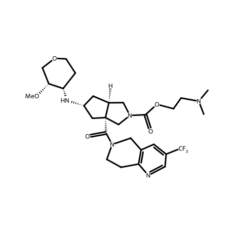 CO[C@@H]1COCC[C@@H]1N[C@@H]1C[C@H]2CN(C(=O)OCCN(C)C)C[C@@]2(C(=O)N2CCc3ncc(C(F)(F)F)cc3C2)C1